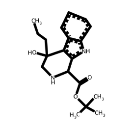 CCCC1(O)CNC(C(=O)OC(C)(C)C)c2[nH]c3ccccc3c21